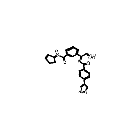 O=C(/N=C(\CO)c1cccc(C(=O)NC2CCCC2)c1)c1ccc(-c2cn[nH]c2)cc1